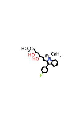 CC(C)n1c(C=C[C@H](O)C[C@H](O)CC(=O)O)c(-c2ccc(F)cc2)c2ccccc21.[CaH2]